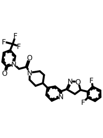 O=C(Cn1cc(C(F)(F)F)ccc1=O)N1CCC(c2ccnc(C3=NOC(c4c(F)cccc4F)C3)c2)CC1